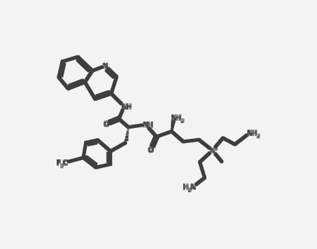 C[N+](CCN)(CCN)CC[C@H](N)C(=O)N[C@H](Cc1ccc(C(F)(F)F)cc1)C(=O)Nc1cnc2ccccc2c1